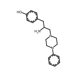 NC(Cc1ccc(O)cc1)CN1CCN(c2ccccc2)CC1